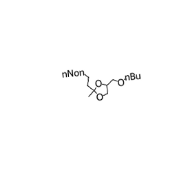 CCCCCCCCCCCC1(C)OCC(COCCCC)O1